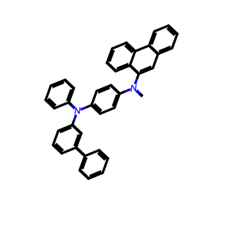 CN(c1ccc(N(c2ccccc2)c2cccc(-c3ccccc3)c2)cc1)c1cc2ccccc2c2ccccc12